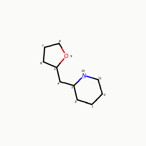 C1CCC(CC2CCCO2)[N]C1